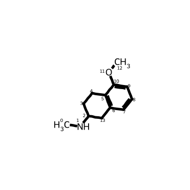 CNC1CCc2c(cccc2OC)C1